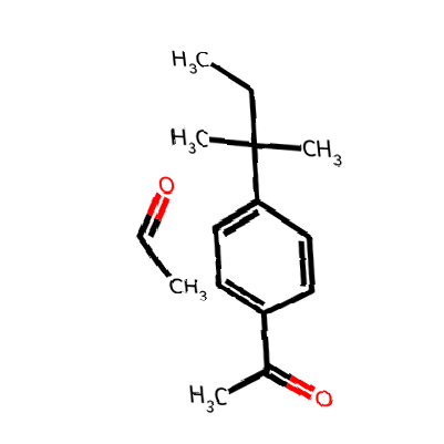 CC=O.CCC(C)(C)c1ccc(C(C)=O)cc1